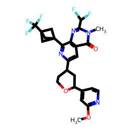 COc1cc(C2CC(c3cc4c(=O)n(C)c(C(F)F)nc4c(C45CC(C(F)(F)F)(C4)C5)n3)CCO2)ccn1